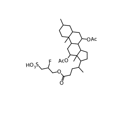 CC(=O)OC1CC2CC(C)CCC2(C)C2CC(OC(C)=O)C3(C)C(C(C)CCC(=O)OCC(F)CS(=O)(=O)O)CCC3C12